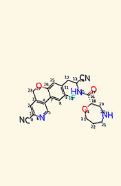 N#Cc1cc2c(cn1)-c1cc(F)c(CC(C#N)NC(=O)[C@@H]3CNCCCO3)cc1OC2